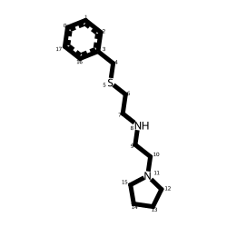 c1ccc(CSCCNCCN2CCCC2)cc1